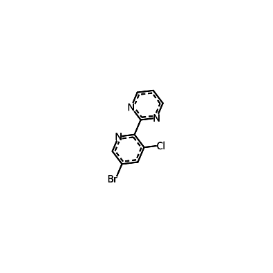 Clc1cc(Br)cnc1-c1ncccn1